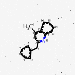 Cc1cc(Cc2ccccc2)nc2ccccc12